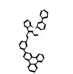 C=Cc1c(/C=C/c2cccc(-c3ccc4c5ccccc5c5ccccc5c4c3)c2)c2ccccc2n1-c1cccc(-c2ccccc2)c1